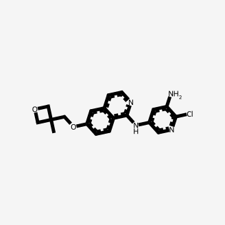 CC1(COc2ccc3c(Nc4cnc(Cl)c(N)c4)nccc3c2)COC1